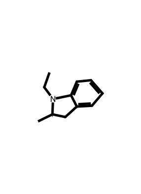 CCN1[C](C)Cc2ccccc21